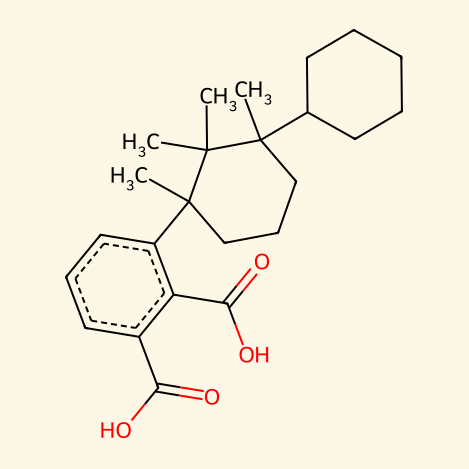 CC1(c2cccc(C(=O)O)c2C(=O)O)CCCC(C)(C2CCCCC2)C1(C)C